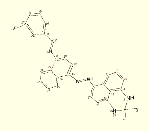 CC1(C)Nc2cccc3c(N=Nc4ccc(N=Nc5cccc(F)c5)c5ccccc45)ccc(c23)N1